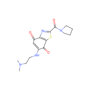 CN(C)CCNC1=CC(=O)c2nc(C(=O)N3CCCC3)sc2C1=O